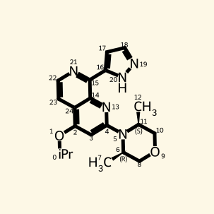 CC(C)Oc1cc(N2[C@H](C)COC[C@@H]2C)nc2c(-c3ccn[nH]3)nccc12